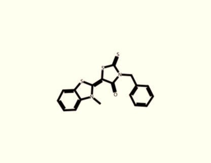 CN1/C(=C2/SC(=S)N(Cc3ccccc3)C2=O)Sc2ccccc21